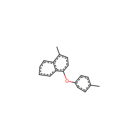 Cc1ccc(Oc2ccc(C)c3ccccc23)cc1